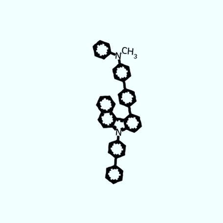 CN(c1ccccc1)c1ccc(-c2ccc(-c3cccc4c3c3c5ccccc5ccc3n4-c3ccc(-c4ccccc4)cc3)cc2)cc1